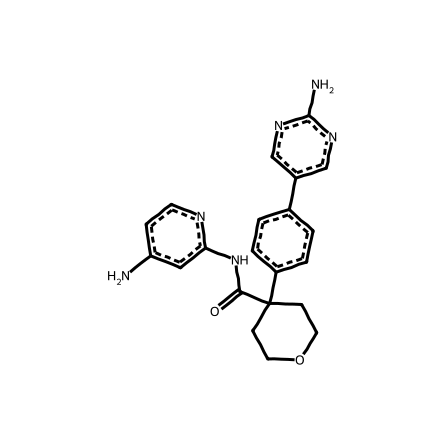 Nc1ccnc(NC(=O)C2(c3ccc(-c4cnc(N)nc4)cc3)CCOCC2)c1